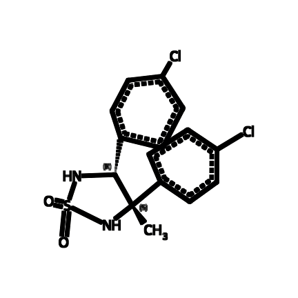 C[C@@]1(c2ccc(Cl)cc2)NS(=O)(=O)N[C@@H]1c1ccc(Cl)cc1